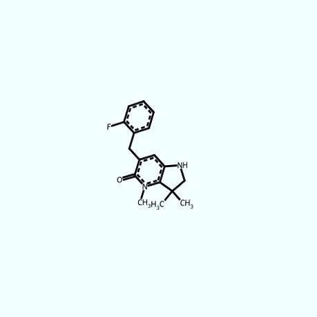 Cn1c2c(cc(Cc3ccccc3F)c1=O)NCC2(C)C